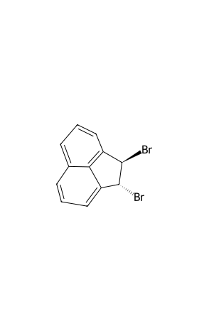 Br[C@@H]1c2cccc3cccc(c23)[C@H]1Br